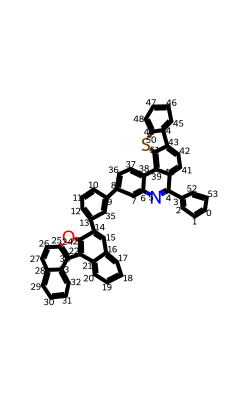 c1ccc(-c2nc3cc(-c4cccc(-c5cc6ccccc6c6c5oc5ccc7ccccc7c56)c4)ccc3c3c2ccc2c4ccccc4sc23)cc1